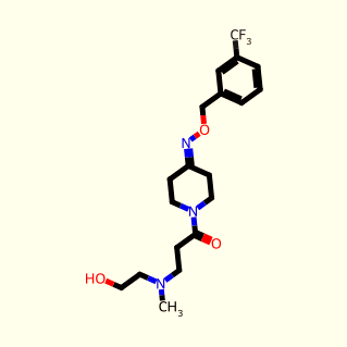 CN(CCO)CCC(=O)N1CCC(=NOCc2cccc(C(F)(F)F)c2)CC1